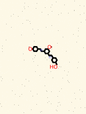 COC1CCC(/C=C/C2CC(/C=C/C3CCC(CO)CC3)CC(OC)C2)CC1